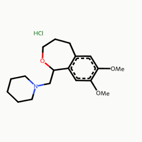 COc1cc2c(cc1OC)C(CN1CCCCC1)OCCC2.Cl